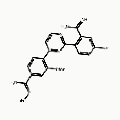 CCCc1ccc(-c2nccc(-c3ccc(C(N)=NC(C)C)cc3OC)n2)c(C(=N)N)c1